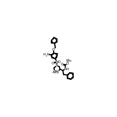 CC(=O)OC(CN(CC(C)C)S(=O)(=O)c1ccc(OCc2ccccc2)c(N)c1)C(Cc1ccccc1)NC(=O)OC(C)(C)C